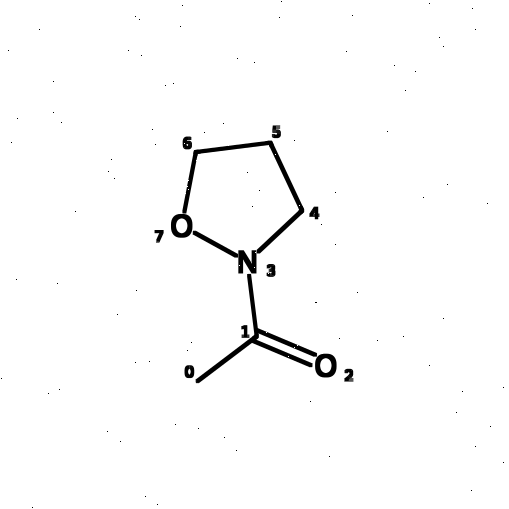 CC(=O)N1CCCO1